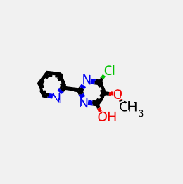 COc1c(O)nc(-c2ccccn2)nc1Cl